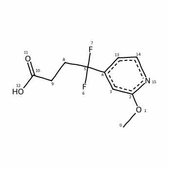 COc1cc(C(F)(F)CCC(=O)O)ccn1